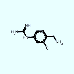 N=C(N)Nc1ccc(CN)c(Cl)c1